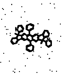 CC1(c2ccccn2)c2ccccc2-c2cc3c(-c4ccccc4)c4cc5c(cc4c(-c4ccccc4)c3cc21)-c1ccccc1C5(C)c1ccccn1